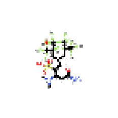 CN(C)C(CC(N)=O)C(CC(CC(F)(C(F)(F)F)C(F)(F)F)CC(F)(C(F)(F)F)C(F)(F)F)S(=O)(=O)O